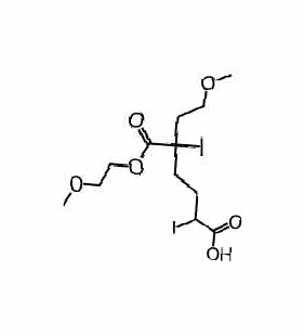 COCCOC(=O)C(I)(CCOC)CCC(I)C(=O)O